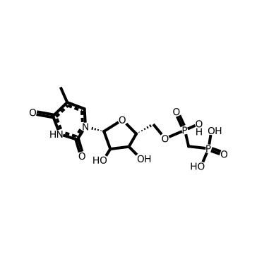 Cc1cn([C@@H]2O[C@H](COP(=O)(O)CP(=O)(O)O)C(O)C2O)c(=O)[nH]c1=O